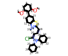 COc1cccc(OC)c1-c1ccc2c(c1)sc(/C=C\C=C(\Cl)N(c1ccccc1)c1ccccc1)[n+]2C